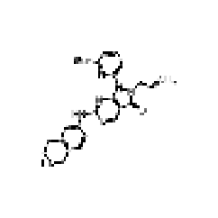 C=CCn1c(=O)c2cnc(Nc3ccc4c(c3)CCNC4)nc2n1-c1cncc(C(C)(C)C)n1